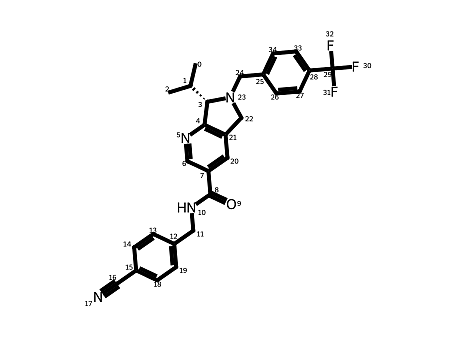 CC(C)[C@H]1c2ncc(C(=O)NCc3ccc(C#N)cc3)cc2CN1Cc1ccc(C(F)(F)F)cc1